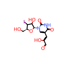 O=CC(O)=Cc1cn([C@H]2O[C@@H](CO)C(I)C2O)c(=O)[nH]c1=O